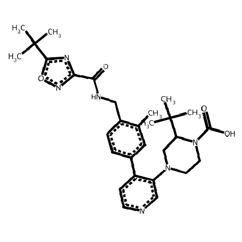 Cc1cc(-c2ccncc2N2CCN(C(=O)O)C(C(C)(C)C)C2)ccc1CNC(=O)c1noc(C(C)(C)C)n1